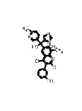 Cc1cccc(-c2c(Cl)nc3c(C)cc(C(O)(c4ccc(C)nc4)c4cncn4C)cc3c2Cl)c1